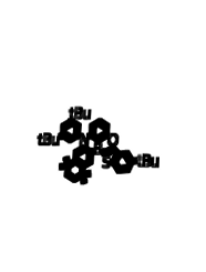 CC(C)(C)c1cc(N2c3cc4c(cc3B3c5sc6ccc(C(C)(C)C)cc6c5Oc5cccc2c53)C(C)(C)CCC4(C)C)cc(C(C)(C)C)c1